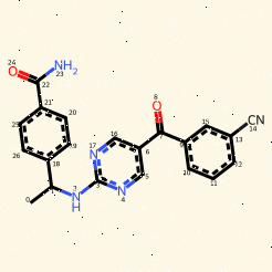 CC(Nc1ncc(C(=O)c2cccc(C#N)c2)cn1)c1ccc(C(N)=O)cc1